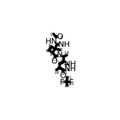 CC(=O)NC(=N)C12C=CC1C(=O)N(C(C)C1=CC(C)=C(OCC(C)(F)F)NN1)C2